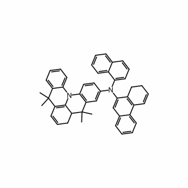 CC1(C)C2=C3C(CC=C2)C(C)(C)c2cc(N(c4cc5ccccc5c5c4CCC=C5)c4cccc5ccccc45)ccc2N3c2ccccc21